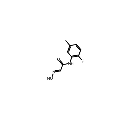 Cc1ccc(F)c(NC(=O)C=NO)c1